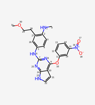 CNc1ccc(Nc2nc(Oc3cccc([N+](=O)[O-])c3)c3cc[nH]c3n2)cc1CCOC